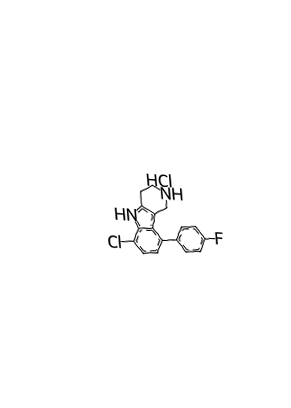 Cl.Fc1ccc(-c2ccc(Cl)c3[nH]c4c(c23)CNCC4)cc1